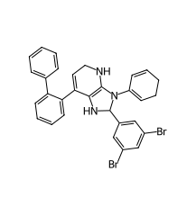 Brc1cc(Br)cc(C2NC3=C(NCC=C3c3ccccc3-c3ccccc3)N2C2=CCCC=C2)c1